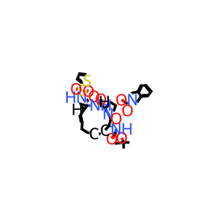 CC(C)(C)OC(=O)N[C@H]1CCCCC/C=C/[C@@H]2C[C@@]2(C(=O)NS(=O)(=O)c2cccs2)NC(=O)[C@@H]2C[C@@H](OC(=O)N3Cc4ccccc4C3)CN2C1=O